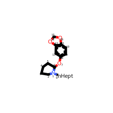 CCCCCCCN1CCCCC1Oc1ccc2c(c1)OCO2